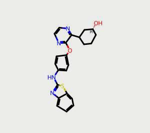 O[C@@H]1CCCC(c2nccnc2Oc2ccc(Nc3nc4ccccc4s3)cc2)C1